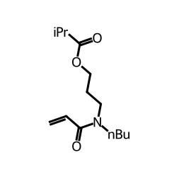 C=CC(=O)N(CCCC)CCCOC(=O)C(C)C